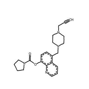 C#CCN1CCN(Cc2ccc(OC(=O)N3CCCC3)c3ncccc23)CC1